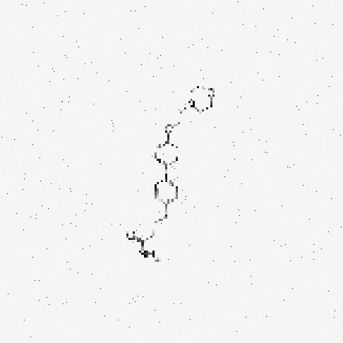 NC(=O)CCCc1ccc(-c2ccc(OCCN3CCOCC3)cc2)cc1